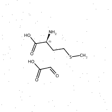 CSCC[C@H](N)C(=O)O.O=CC(=O)O